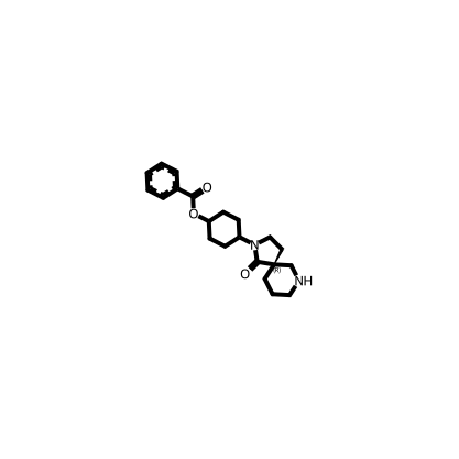 O=C(OC1CCC(N2CC[C@@]3(CCCNC3)C2=O)CC1)c1ccccc1